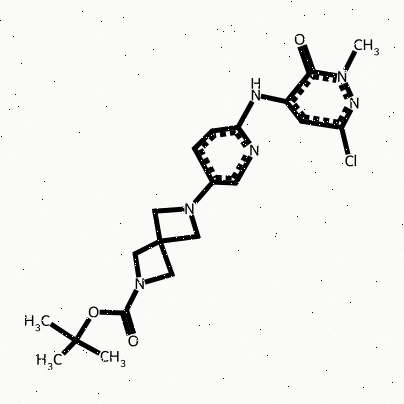 Cn1nc(Cl)cc(Nc2ccc(N3CC4(CN(C(=O)OC(C)(C)C)C4)C3)cn2)c1=O